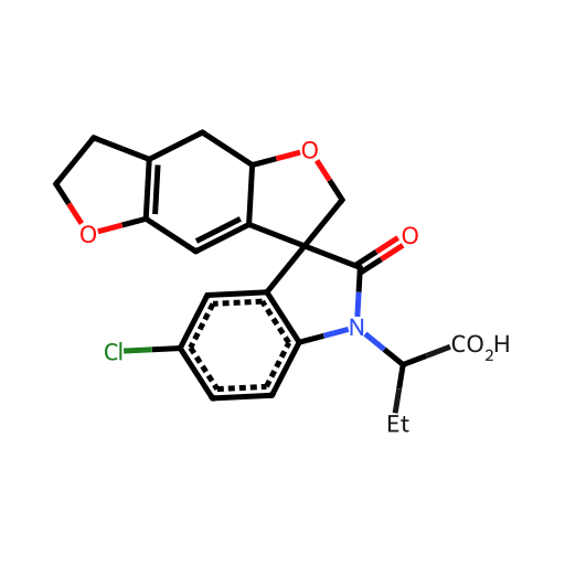 CCC(C(=O)O)N1C(=O)C2(COC3CC4=C(C=C32)OCC4)c2cc(Cl)ccc21